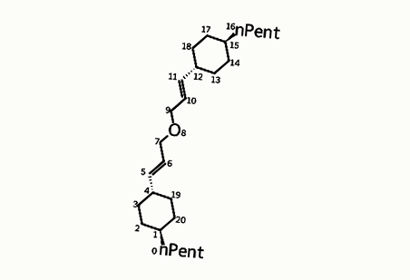 CCCCC[C@H]1CC[C@H](C=CCOCC=C[C@H]2CC[C@H](CCCCC)CC2)CC1